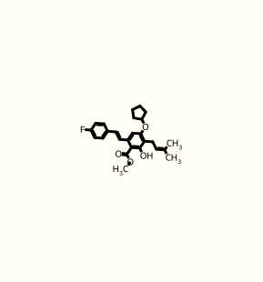 COC(=O)c1c(C=Cc2ccc(F)cc2)cc(OC2CCCC2)c(CC=C(C)C)c1O